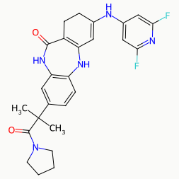 CC(C)(C(=O)N1CCCC1)c1ccc2c(c1)NC(=O)C1=C(C=C(Nc3cc(F)nc(F)c3)CC1)N2